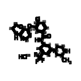 C[C@H]1CN(c2cc(NC(=O)c3ccc(Cl)c(Oc4ncnc5c4OCCN5)c3)cc(C(F)(F)F)c2)CCN1.Cl